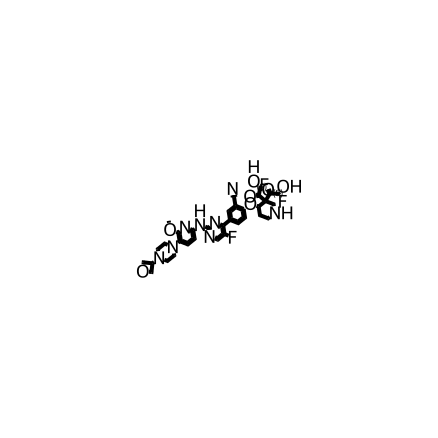 COc1nc(Nc2ncc(F)c(-c3ccc(OC4CCNCC4(C(=O)[C@@H](O)F)C(=O)[C@@H](O)F)c(C#N)c3)n2)ccc1N1CCN(C2COC2)CC1